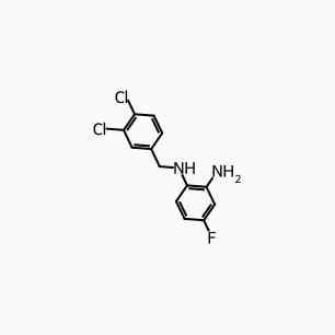 Nc1cc(F)ccc1NCc1ccc(Cl)c(Cl)c1